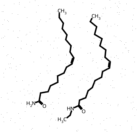 CCCCCCCC/C=C\CCCCCCCC(=O)NCC.CCCCCCCC/C=C\CCCCCCCC(N)=O